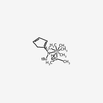 C[SiH](C)[Ti]([CH3])([CH3])([CH3])([CH3])([CH3])([CH3])[N](C1=CC=CC1)C(C)(C)C